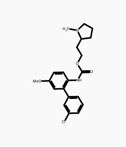 COc1ccc(NC(=O)OCCC2CCCN2C)c(-c2cccc(Cl)c2)c1